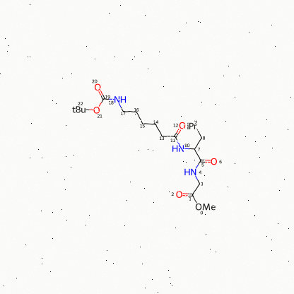 COC(=O)CNC(=O)C(CC(C)C)NC(=O)CCCCCNC(=O)OC(C)(C)C